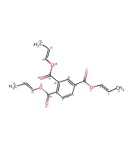 CC=COC(=O)c1ccc(C(=O)OC=CC)c(C(=O)OC=CC)c1